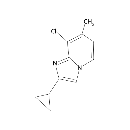 Cc1ccn2cc(C3CC3)nc2c1Cl